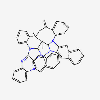 C=C1CC2(C)c3ccccc3N3c4nc5ccccc5nc4N(c4ccccc4)C3C2(C)C2N(c3ccccc3)c3cc4ccccc4cc3N2c2ccccc21